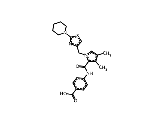 Cc1cn(Cc2csc(N3CCCCC3)n2)c(C(=O)Nc2ccc(C(=O)O)cc2)c1C